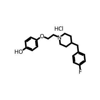 Cl.Oc1ccc(OCCN2CCC(Cc3ccc(F)cc3)CC2)cc1